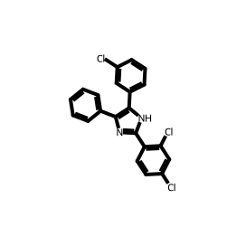 Clc1cccc(-c2[nH]c(-c3ccc(Cl)cc3Cl)nc2-c2ccccc2)c1